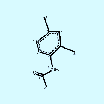 CC(=O)Nc1cnc(C)cc1C